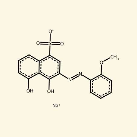 COc1ccccc1/N=N/c1cc(S(=O)(=O)[O-])c2cccc(O)c2c1O.[Na+]